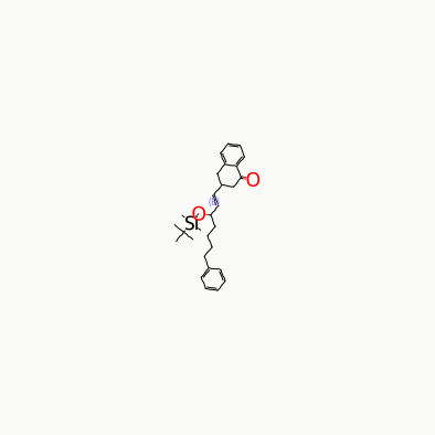 CC(C)(C)[Si](C)(C)OC(/C=C/C1CC(=O)c2ccccc2C1)CCCCc1ccccc1